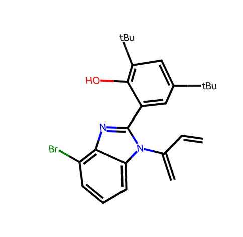 C=CC(=C)n1c(-c2cc(C(C)(C)C)cc(C(C)(C)C)c2O)nc2c(Br)cccc21